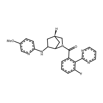 COc1ccc(NC2C[C@H]3CC2N(C(=O)c2cccc(F)c2-c2ncccn2)C3)nc1